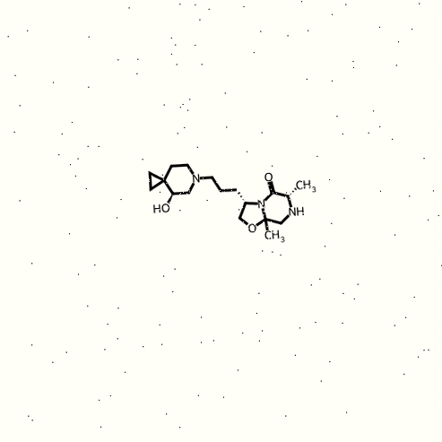 C[C@@H]1NCC2(C)OC[C@H](CCCN3CCC4(CC4)[C@H](O)C3)N2C1=O